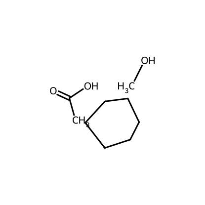 C1CCCCC1.CC(=O)O.CO